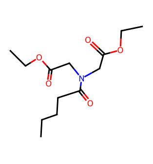 CCCCC(=O)N(CC(=O)OCC)CC(=O)OCC